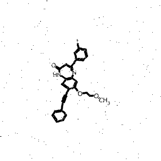 COCCOc1cc2c(cc1C#Cc1ccccc1)NC(=O)CC(c1cccc(I)c1)=N2